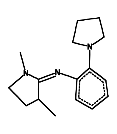 CC1CCN(C)/C1=N/c1ccccc1N1CCCC1